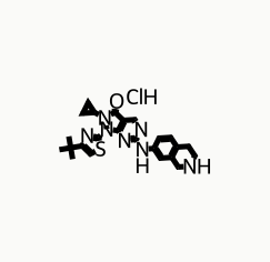 CC(C)(C)c1csc(-n2c3nc(Nc4ccc5c(c4)CNCC5)ncc3c(=O)n2C2CC2)n1.Cl